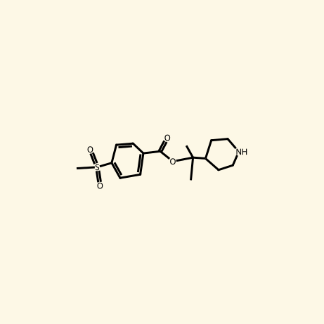 CC(C)(OC(=O)c1ccc(S(C)(=O)=O)cc1)C1CCNCC1